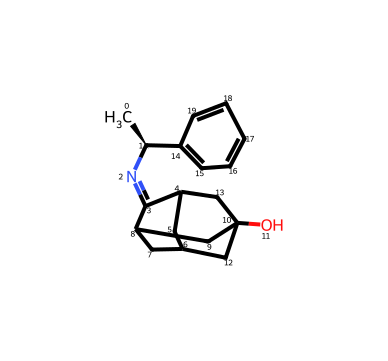 C[C@H](N=C1C2CC3CC1CC(O)(C3)C2)c1ccccc1